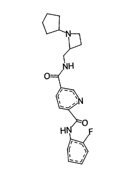 O=C(NCC1CCN1C1CCCC1)c1ccc(C(=O)Nc2ccccc2F)nc1